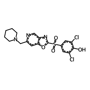 O=S(=O)(c1cc(Cl)c(O)c(Cl)c1)c1nc2cnc(CN3CCCCC3)cc2o1